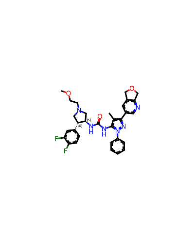 COCCN1C[C@@H](NC(=O)Nc2c(C)c(-c3cnc4c(c3)COC4)nn2-c2ccccc2)[C@H](c2ccc(F)c(F)c2)C1